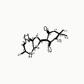 CC1CNC2SC(=C3C(=O)CC(C)(C)CC3=O)SC2N1